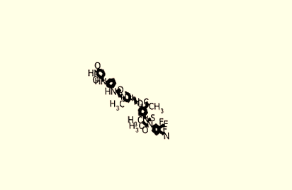 CC(C)c1cc(N2C(=S)N(c3ccc(C#N)c(C(F)(F)F)c3)C(=O)C2(C)C)ccc1OCCN1CCN(CC(=O)Nc2cccc(NC3CCC(=O)NC3=O)c2)C(C)C1